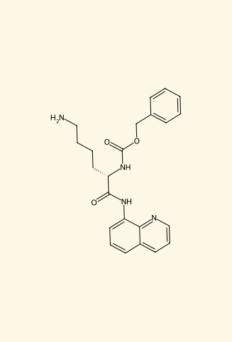 NCCCC[C@H](NC(=O)OCc1ccccc1)C(=O)Nc1cccc2cccnc12